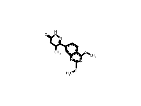 CSc1nc(SC)c2ccc(C3=NNC(=O)CC3C)cc2n1